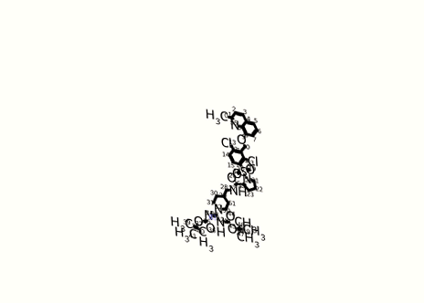 Cc1ccc2cccc(OCc3c(Cl)ccc(S(=O)(=O)N4CCC[C@H]4C(=O)NCC4CCN(/C(=N/C(=O)OC(C)(C)C)NC(=O)OC(C)(C)C)CC4)c3Cl)c2n1